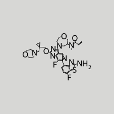 C=CC(=O)N(C)[C@@H]1COCCN(c2nc(OCC3(CN4CCOCC4)CC3)nc3c(F)c(-c4ccc(F)c5sc(N)nc45)ncc23)C1